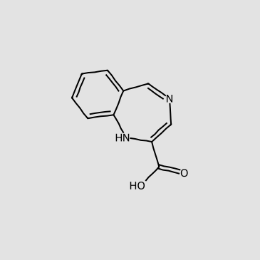 O=C(O)C1=CN=Cc2ccccc2N1